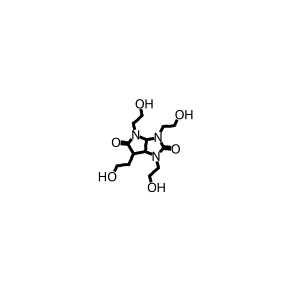 O=C1C(CCO)C2C(N1CCO)N(CCO)C(=O)N2CCO